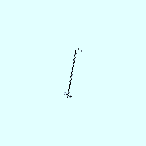 CCCCCCCCCCCC/C=C/CCCCCCCC(=O)O